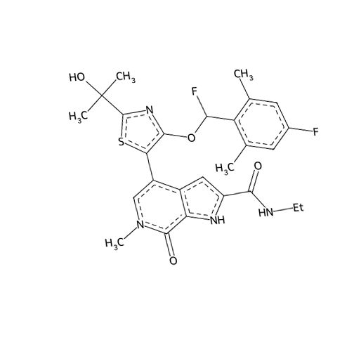 CCNC(=O)c1cc2c(-c3sc(C(C)(C)O)nc3OC(F)c3c(C)cc(F)cc3C)cn(C)c(=O)c2[nH]1